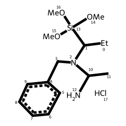 CCC(N(Cc1ccccc1)C(C)N)[Si](OC)(OC)OC.Cl